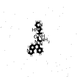 CC(C)(NC(=O)c1nc(-c2ccc3ncccc3c2)c(-c2ccccc2)nc1N)c1cc2ncccc2[nH]1